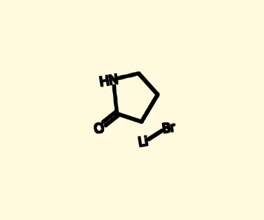 O=C1CCCN1.[Li][Br]